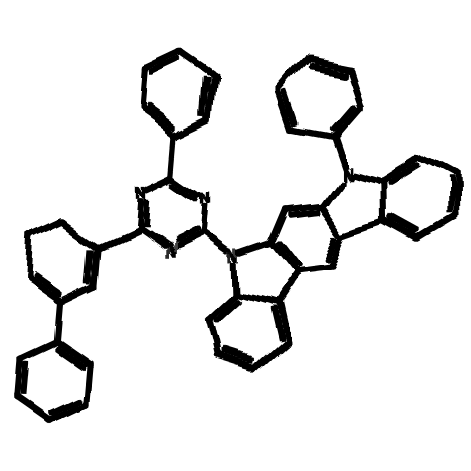 C1=C(c2ccccc2)C=C(c2nc(-c3ccccc3)nc(-n3c4ccccc4c4cc5c6ccccc6n(-c6ccccc6)c5cc43)n2)CC1